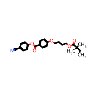 CCC(C)(C)C(=O)OCCCCOc1ccc(C(=O)Oc2ccc(C#N)cc2)cc1